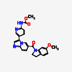 COC(=O)Nc1ccc(-c2cnc3ccc(C(=O)N4CCc5ccc(OC)cc54)cn23)cn1